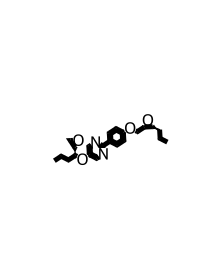 CCCC(Oc1cnc(-c2ccc(OCC3O[C@H]3CCC)cc2)nc1)[C@@H]1CO1